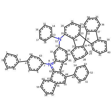 c1ccc(-c2ccc(-n3c4cc(N(c5ccccc5)c5cccc6c5-c5ccccc5C65c6ccccc6-c6ccccc65)ccc4c4c(-c5ccccc5)cc5ccccc5c43)cc2)cc1